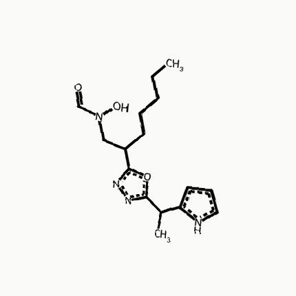 CCCCCC(CN(O)C=O)c1nnc(C(C)c2ccc[nH]2)o1